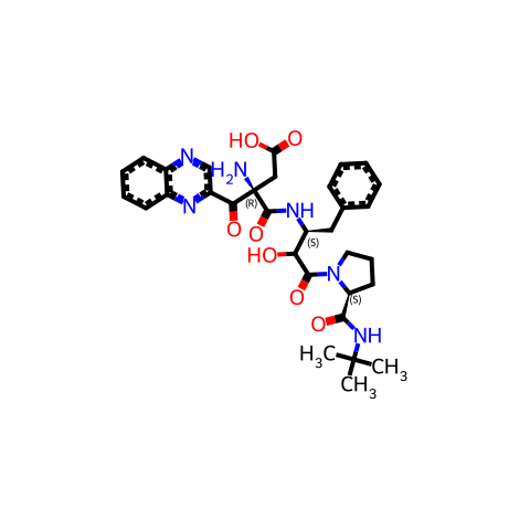 CC(C)(C)NC(=O)[C@@H]1CCCN1C(=O)C(O)[C@H](Cc1ccccc1)NC(=O)[C@@](N)(CC(=O)O)C(=O)c1cnc2ccccc2n1